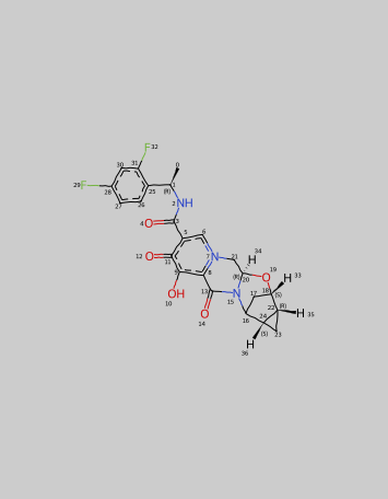 C[C@@H](NC(=O)c1cn2c(c(O)c1=O)C(=O)N1C3C[C@H](O[C@@H]1C2)[C@@H]1C[C@H]31)c1ccc(F)cc1F